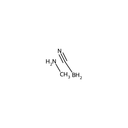 BC#N.CN